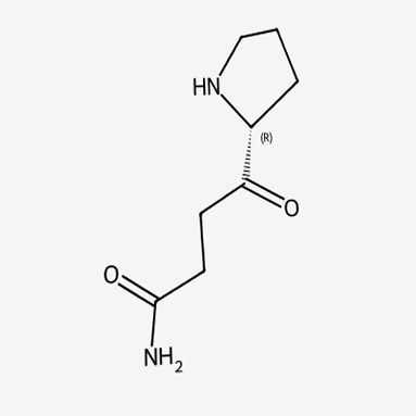 NC(=O)CCC(=O)[C@H]1CCCN1